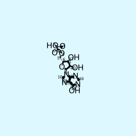 O=S(=O)(O)OC[C@H]1O[C@@H](n2cnc3c(O)ncnc32)[C@H](O)[C@@H]1O